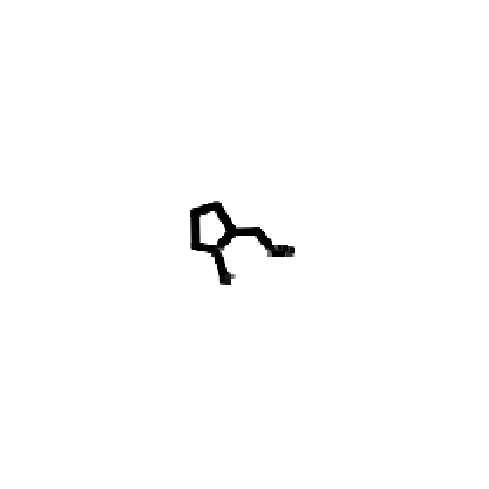 CNCC1CCC[S+]1[O-]